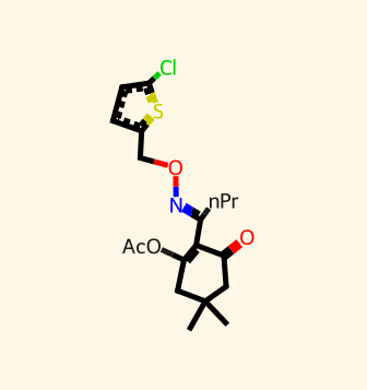 CCCC(=NOCc1ccc(Cl)s1)C1=C(OC(C)=O)CC(C)(C)CC1=O